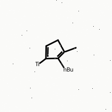 CCCCC1=C(C)CC=[C]1[Ti]